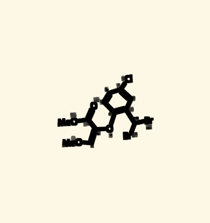 COC=C(Oc1ccc(Cl)cc1C(Br)Br)C(=O)OC